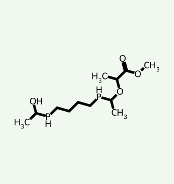 COC(=O)C(C)OC(C)PCCCCPC(C)O